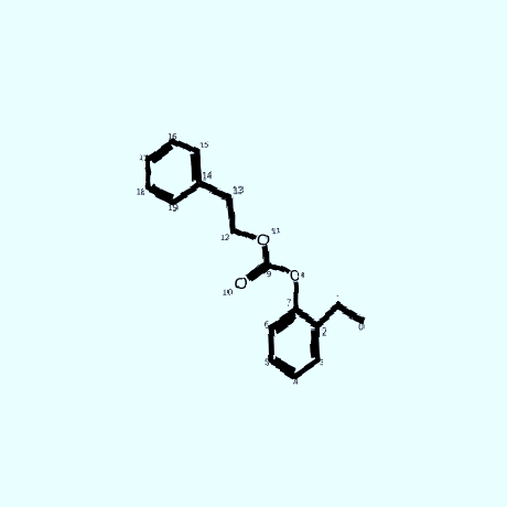 CCc1ccccc1OC(=O)OCCc1ccccc1